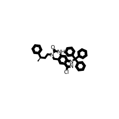 C[C@H](CCN1Cc2cc3c(Cl)nn(C(c4ccccc4)(c4ccccc4)c4ccccc4)c3cc2NC1=O)c1ccccc1